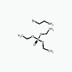 CCOP(=O)(OCC)OCC.NCCBr